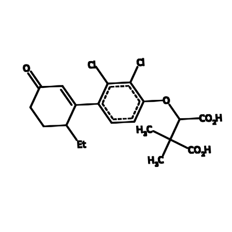 CCC1CCC(=O)C=C1c1ccc(OC(C(=O)O)C(C)(C)C(=O)O)c(Cl)c1Cl